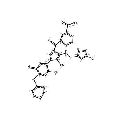 N#Cc1cn(Cc2ncccn2)c(=O)cc1-c1nn(C(=O)c2cccc(C(N)=O)c2)c(NCc2ccc(Cl)s2)c1C#N